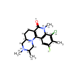 Cc1c(F)cc2c3c(c(=O)n(C)c2c1Cl)CCC1CN(C)C(C)CN31